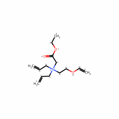 C=CC[N+]([CH]C(=O)OCC)(CC=C)CCOC=C